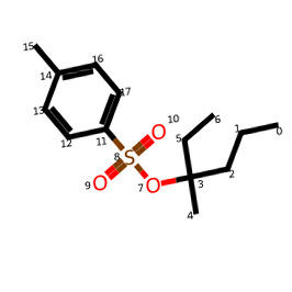 CCCC(C)(CC)OS(=O)(=O)c1ccc(C)cc1